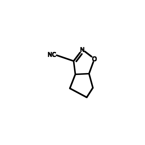 N#CC1=NOC2CCCC12